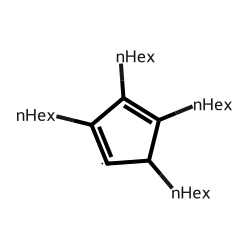 CCCCCCC1=[C]C(CCCCCC)C(CCCCCC)=C1CCCCCC